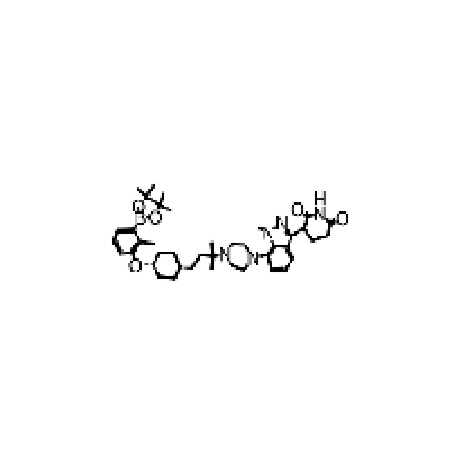 Cc1c(O[C@H]2CC[C@H](CCC(C)(C)N3CCN(c4cccc5c(C6CCC(=O)NC6=O)nn(C)c45)CC3)CC2)cccc1B1OC(C)(C)C(C)(C)O1